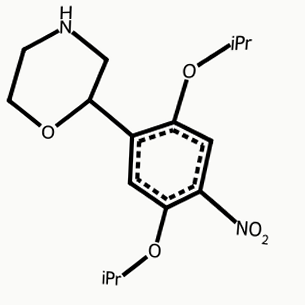 CC(C)Oc1cc([N+](=O)[O-])c(OC(C)C)cc1C1CNCCO1